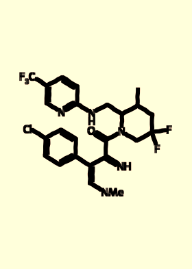 CN/C=C(\C(=N)C(=O)N1CC(F)(F)CC(C)C1CNc1ccc(C(F)(F)F)cn1)c1ccc(Cl)cc1